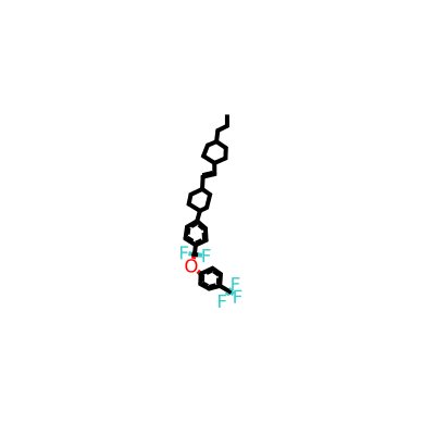 CCCC1CCC(/C=C/C2CCC(c3ccc(C(F)(F)Oc4ccc(C(F)(F)F)cc4)cc3)CC2)CC1